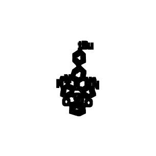 CC(C)(C)c1ccc(-c2cc3c4c(c2)-n2cnc5cc6c(c(c52)B4c2c4c(cc5ncn-3c25)Oc2ccccc2O4)Oc2ccccc2O6)cc1